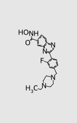 CCN1CCN(Cc2ccc(-c3cnc4ccc(C(=O)NO)cc4n3)c(F)c2)CC1